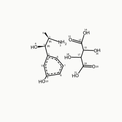 C[C@@H](N)[C@H](O)c1cccc(O)c1.O=C(O)C(O)C(O)C(=O)O